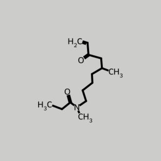 C=CC(=O)CC(C)CCCCN(C)C(=O)CC